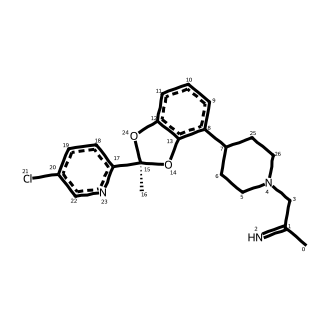 CC(=N)CN1CCC(c2cccc3c2O[C@@](C)(c2ccc(Cl)cn2)O3)CC1